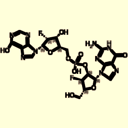 Nc1nc2c(ncn2[C@@H]2O[C@H](CO)[C@@H](F)[C@H]2OP(=O)(O)OC[C@H]2O[C@H](n3cnc4c(O)ncnc43)[C@H](F)[C@@H]2O)c(=O)[nH]1